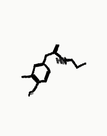 C=C(Cc1ccc(F)c(C)c1)NCCC